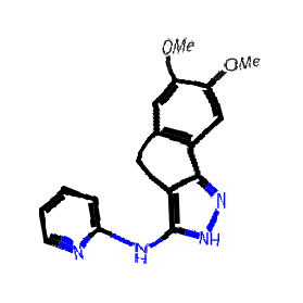 COc1cc2c(cc1OC)-c1n[nH]c(Nc3ccccn3)c1C2